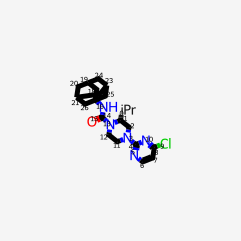 CC(C)C1CN(c2nccc(Cl)n2)CCN1C(=O)NC12CC3CC(CC(C3)C1)C2